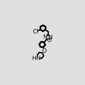 Clc1cccc(Cc2noc(-c3cccc(OC4CCNCC4)c3)n2)c1